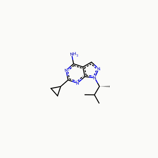 CC(C)[C@@H](C)n1ncc2c(N)nc(C3CC3)nc21